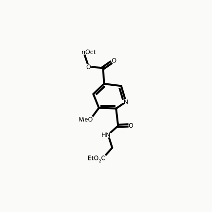 CCCCCCCCOC(=O)c1cnc(C(=O)NCC(=O)OCC)c(OC)c1